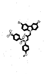 COc1ccc(N(CC(F)Cn2c3ccc(Br)cc3c3cc(Br)ccc32)S(=O)(=O)c2ccc([N+](=O)[O-])cc2)cc1